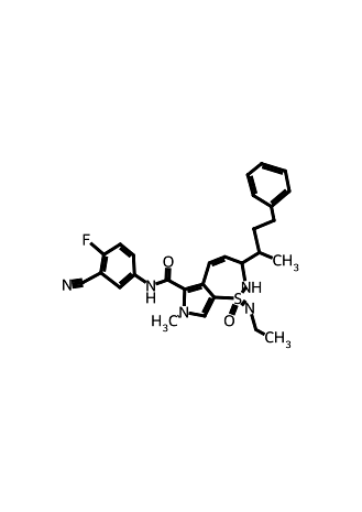 CCN=S1(=O)NC(C(C)CCc2ccccc2)C=Cc2c1cn(C)c2C(=O)Nc1ccc(F)c(C#N)c1